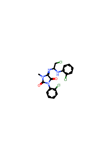 CN1C(=O)N(c2ccccc2Cl)C(=O)C1=NC(CCl)Nc1ccccc1Cl